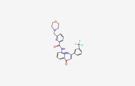 O=C(Nc1cccc2c(=O)cc(-c3cccc(C(F)(F)F)c3)[nH]c12)c1cccc(CN2CCOCC2)n1